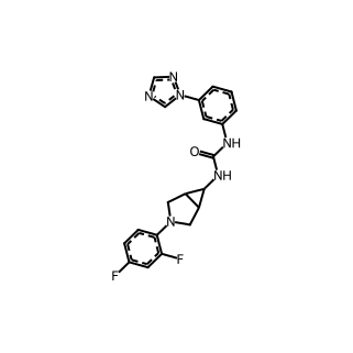 O=C(Nc1cccc(-n2cncn2)c1)NC1C2CN(c3ccc(F)cc3F)CC21